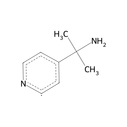 CC(C)(N)c1c[c]ncc1